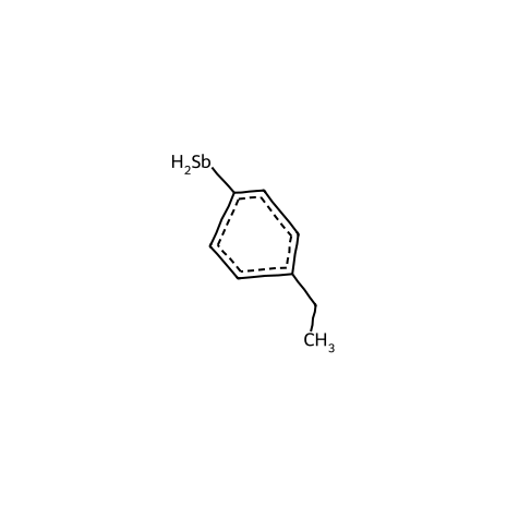 CCc1cc[c]([SbH2])cc1